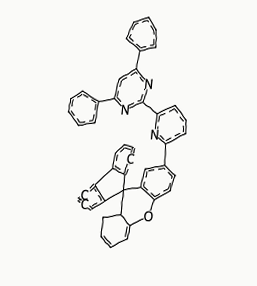 C1=CCC2C(=C1)Oc1ccc(-c3cccc(-c4nc(-c5ccccc5)cc(-c5ccccc5)n4)n3)cc1C21c2ccccc2-c2ccccc21